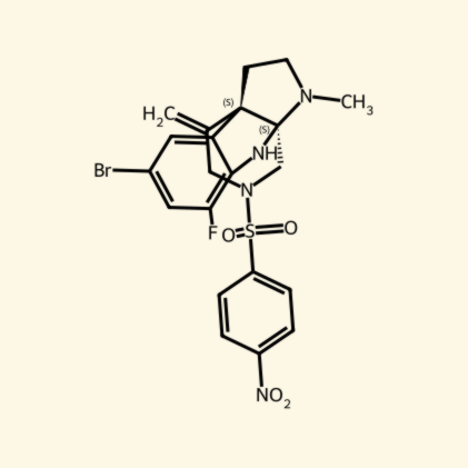 C=C1CN(S(=O)(=O)c2ccc([N+](=O)[O-])cc2)C[C@]23Nc4c(F)cc(Br)cc4[C@]12CCN3C